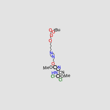 COc1cc(Nc2c(C#N)cnc3cc(OCCCN4CCN(CCCCCCOCCOCC(=O)OC(C)(C)C)CC4)c(OC)cc23)c(Cl)cc1Cl